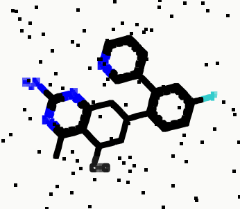 Cc1nc(N)nc2c1C(C=O)CC(c1ccc(F)cc1-c1cccnc1)C2